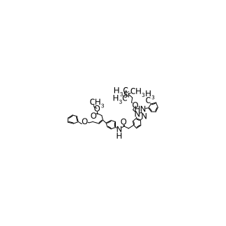 CCOC(=O)CC(=CCCOCc1ccccc1)c1ccc(NC(=O)Cc2ccc3nc(Nc4ccccc4C)n(COCC[Si](C)(C)C)c3c2)cc1